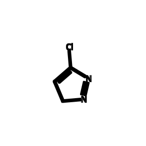 ClC1=CCN=N1